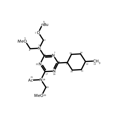 CCCCOCN(COC)c1nc(C2CCC(C)CC2)nc(N(COC)C(C)=O)n1